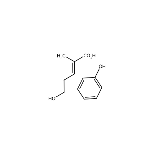 CC(=CCCO)C(=O)O.Oc1ccccc1